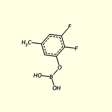 Cc1cc(F)c(F)c(OB(O)O)c1